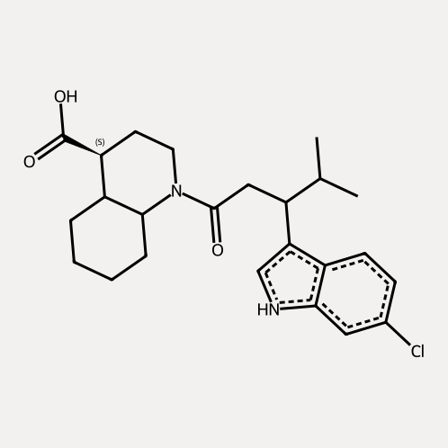 CC(C)C(CC(=O)N1CC[C@H](C(=O)O)C2CCCCC21)c1c[nH]c2cc(Cl)ccc12